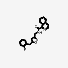 O=C(NCC1=NOC(Cc2ccccc2F)C1)c1nccc2ccccc12